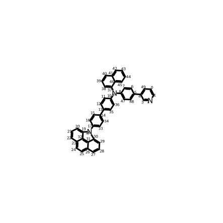 c1cncc(-c2ccc(N(c3ccc(-c4ccc(-n5c6cccc7ccc8cccc5c8c76)cc4)cc3)c3cccc4ccccc34)cc2)c1